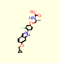 C[C@@H](COc1ccc(-n2cc3ccc(OCC4CC4)cc3n2)c(F)c1)NC(=O)O